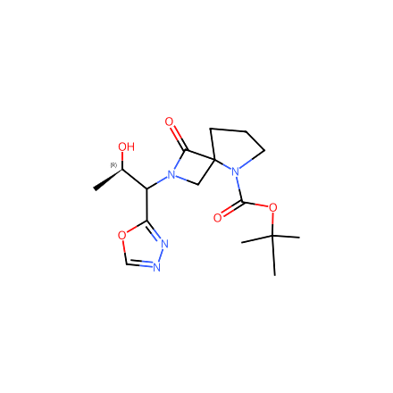 C[C@@H](O)C(c1nnco1)N1CC2(CCCN2C(=O)OC(C)(C)C)C1=O